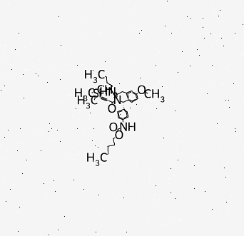 CCCCCOC(=O)Nc1ccc([C@H]2c3ccc(OC)cc3C[C@H](NCCCC)N2C(=O)C#C[Si](C)(C)C)cc1